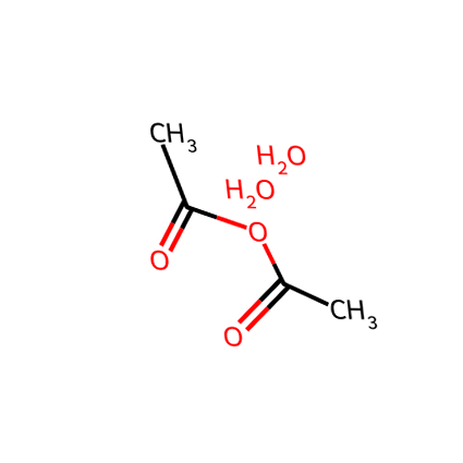 CC(=O)OC(C)=O.O.O